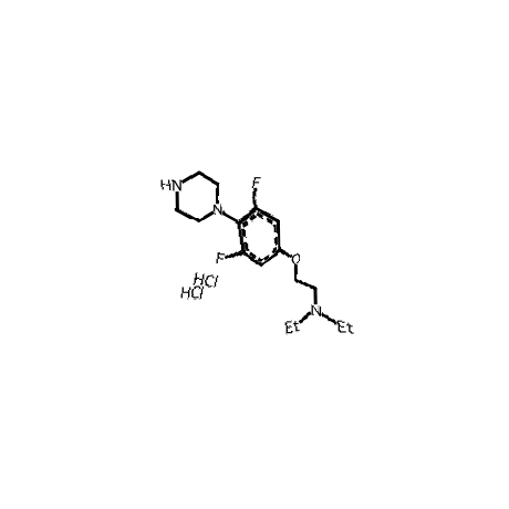 CCN(CC)CCOc1cc(F)c(N2CCNCC2)c(F)c1.Cl.Cl